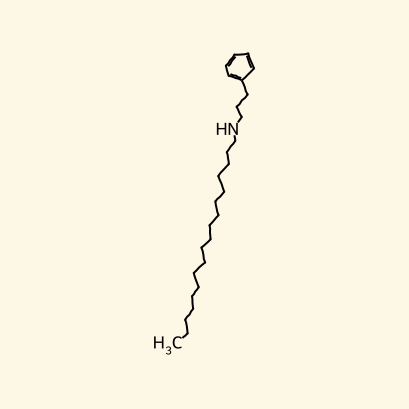 CCCCCCCCCCCCCCCCCCNCCCc1ccccc1